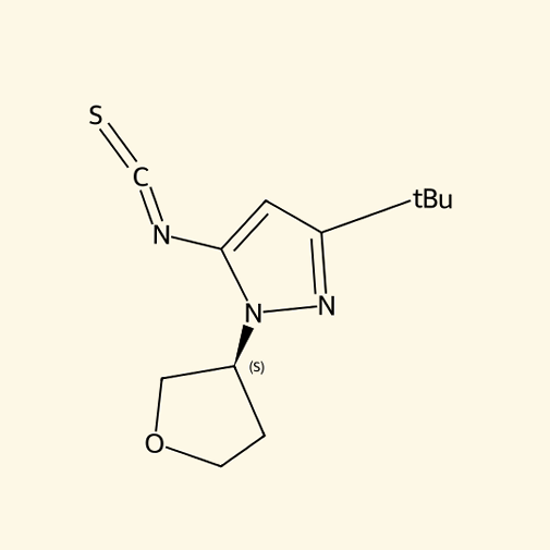 CC(C)(C)c1cc(N=C=S)n([C@H]2CCOC2)n1